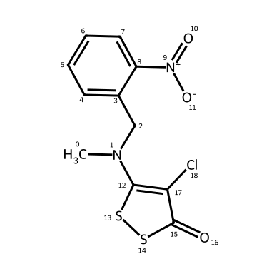 CN(Cc1ccccc1[N+](=O)[O-])c1ssc(=O)c1Cl